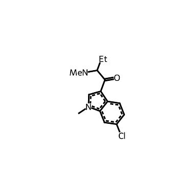 CCC(NC)C(=O)c1cn(C)c2cc(Cl)ccc12